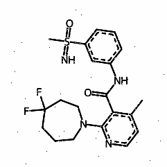 Cc1ccnc(N2CCCC(F)(F)CC2)c1C(=O)Nc1cccc(S(C)(=N)=O)c1